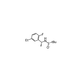 CCc1ccc(F)c([C@H](C)N[S@+]([O-])C(C)(C)C)c1